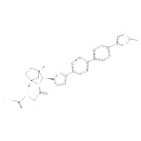 COC(=O)N[C@H](C(=O)N1[C@@H]2CC[C@@H](C2)[C@H]1c1nc(-c2ccc(-c3ccc(-c4c[nH]c(C)n4)cc3)cc2)c[nH]1)C(C)C